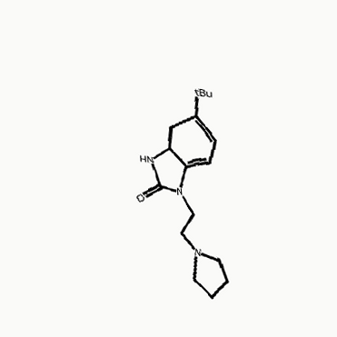 CC(C)(C)C1=CC=C2C(C1)NC(=O)N2CCN1CCCC1